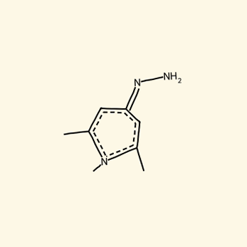 Cc1cc(=NN)cc(C)n1C